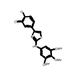 COc1cc(Nc2nc(-c3ccc(Cl)c(Cl)c3)cs2)cc(OC)c1OC